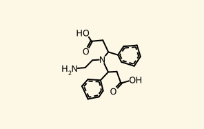 NCCN(C(CC(=O)O)c1ccccc1)C(CC(=O)O)c1ccccc1